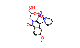 COc1ccc2c(=O)n(CC(O)CO)c(C#N)c(-c3cccc[n+]3[O-])c2c1